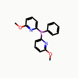 COc1cccc(P(c2ccccc2)c2cccc(OC)n2)n1